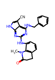 CN1C(=O)CCc2cccc(Nc3nc(NCc4ccccc4)c4c(C#N)c[nH]c4n3)c21